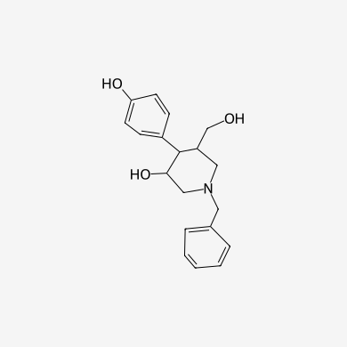 OCC1CN(Cc2ccccc2)CC(O)C1c1ccc(O)cc1